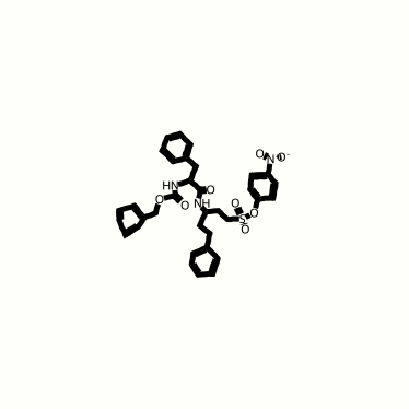 O=C(NC(Cc1ccccc1)C(=O)NC(CCc1ccccc1)CCS(=O)(=O)Oc1ccc([N+](=O)[O-])cc1)OCc1ccccc1